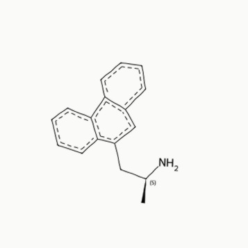 C[C@H](N)Cc1cc2ccccc2c2ccccc12